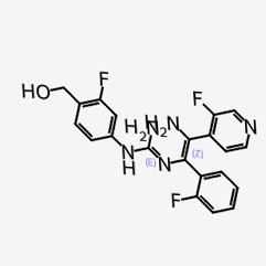 N/C(=C(\N=C(/N)Nc1ccc(CO)c(F)c1)c1ccccc1F)c1ccncc1F